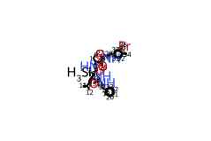 CCC(NC(=O)[C@@]([SiH3])(C#CC(C)C)NC(=O)NCc1ccccc1)C(=O)C(=O)NCc1ccc(C)c(Br)c1